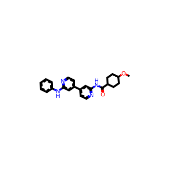 COC1CCC(C(=O)Nc2cc(-c3ccnc(Nc4ccccc4)c3)ccn2)CC1